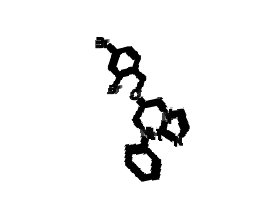 Brc1ccc(COC(CNc2ccccc2)Cn2ccnc2)c(Br)c1